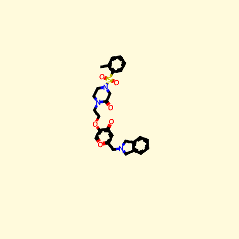 Cc1ccccc1S(=O)(=O)N1CCN(CCOc2coc(CN3Cc4ccccc4C3)cc2=O)C(=O)C1